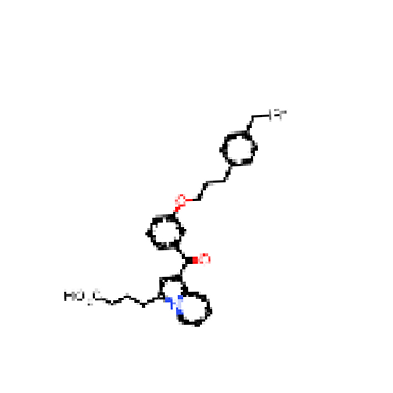 CC(C)Cc1ccc(CCCOc2cccc(C(=O)c3cc(CCCC(=O)O)n4ccccc34)c2)cc1